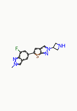 Cn1cc2cc(-c3cc4cn(C5CNC5)nc4s3)cc(F)c2n1